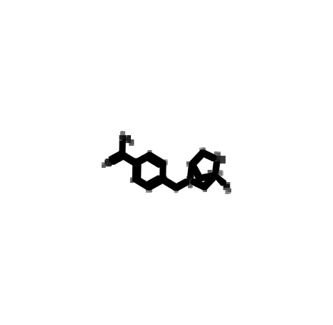 NC(=O)c1ccc(CN2C[C@@H]3CC2CN3)cc1